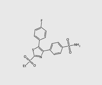 CCS(=O)(=O)c1nc(-c2ccc(S(N)(=O)=O)cc2)c(-c2ccc(F)cc2)s1